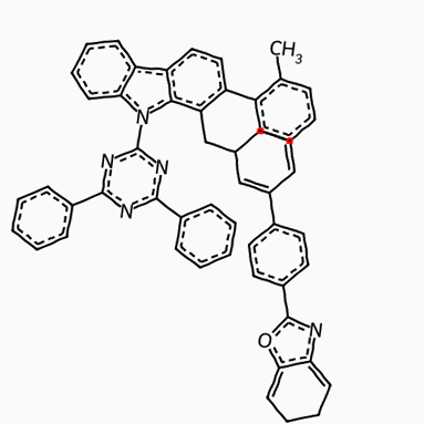 Cc1ccccc1-c1ccc2c3ccccc3n(-c3nc(-c4ccccc4)nc(-c4ccccc4)n3)c2c1CC1C=C(c2ccc(-c3nc4c(o3)=CCCC=4)cc2)C=CC1